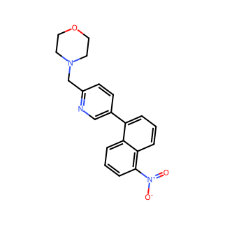 O=[N+]([O-])c1cccc2c(-c3ccc(CN4CCOCC4)nc3)cccc12